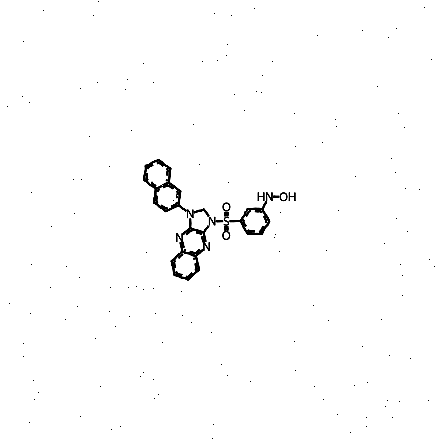 O=S(=O)(c1cccc(NO)c1)N1CN(c2ccc3ccccc3c2)c2nc3ccccc3nc21